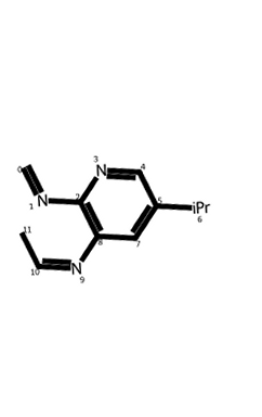 C=Nc1ncc(C(C)C)cc1/N=C\C